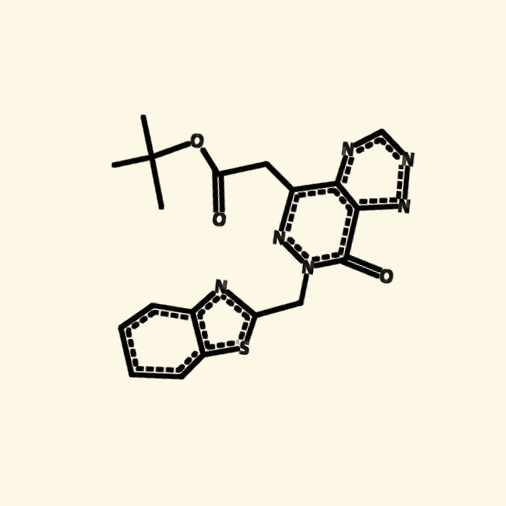 CC(C)(C)OC(=O)Cc1nn(Cc2nc3ccccc3s2)c(=O)c2nncnc12